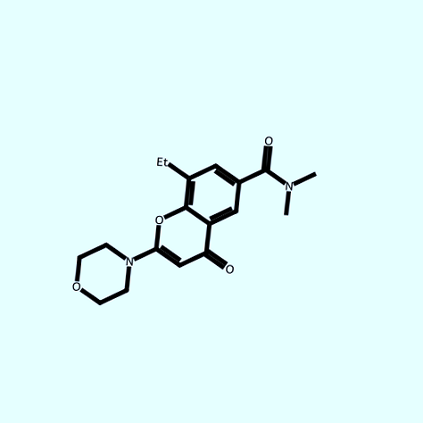 CCc1cc(C(=O)N(C)C)cc2c(=O)cc(N3CCOCC3)oc12